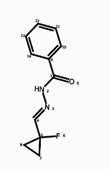 O=C(NN=CC1(F)CC1)c1ccccc1